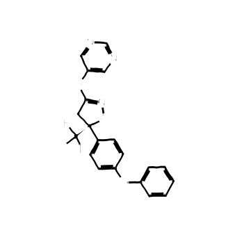 FC(F)(F)[C@@]1(c2ccc(Oc3ccccc3)cc2)CC(Oc2cncnc2)=NO1